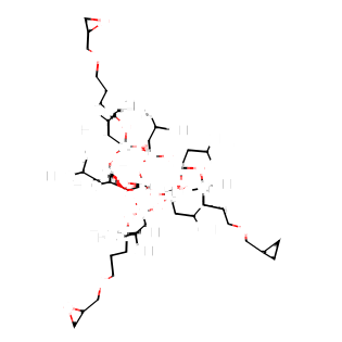 CC(C)C[Si]1(O[Si](C)(C)CCCOCC2CC2)O[Si]2(CC(C)C)O[Si](CC(C)C)(O[Si](C)(C)CCCOCC3CO3)O[Si]3(CC(C)C)O[Si](CC(C)C)(O[Si](C)(C)CCCOCC4CO4)O[Si](CC(C)C)(O1)O[Si](CC(C)C)(O2)O3